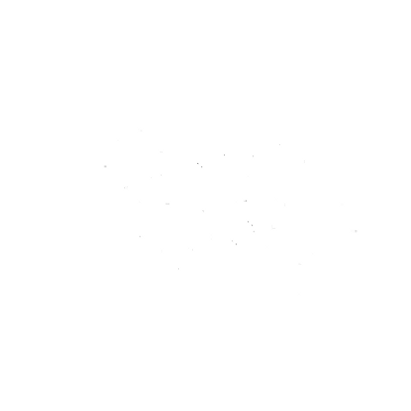 O=C(O)C1CC1c1nn(C(c2ccccc2)(c2ccccc2)c2ccccc2)c2ccnc(OC3CCOCC3)c12